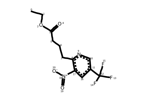 CCOC(=O)CCCc1ncc(C(F)(F)F)cc1[N+](=O)[O-]